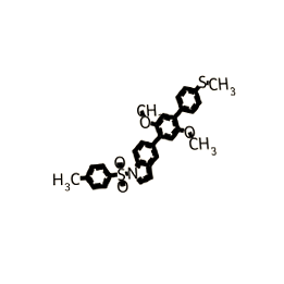 COc1cc(-c2ccc3c(ccn3S(=O)(=O)c3ccc(C)cc3)c2)c(OC)cc1-c1ccc(SC)cc1